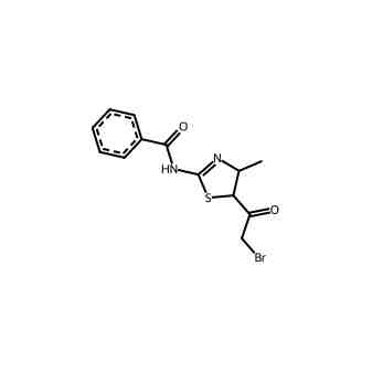 CC1N=C(NC(=O)c2ccccc2)SC1C(=O)CBr